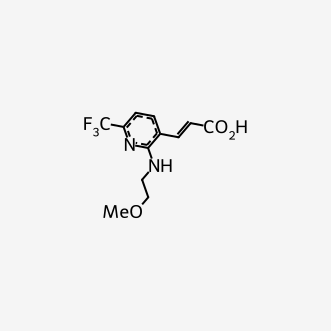 COCCNc1nc(C(F)(F)F)ccc1C=CC(=O)O